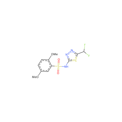 COc1ccc(OC)c(S(=O)(=O)Nc2nnc(C(F)F)s2)c1